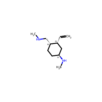 BN[C@H]1CC[C@H](CNC)[C@H](C=C)C1